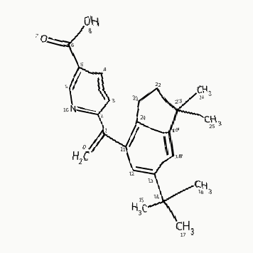 C=C(c1ccc(C(=O)O)cn1)c1cc(C(C)(C)C)cc2c1CCC2(C)C